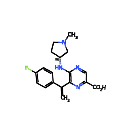 C=C(c1ccc(F)cc1)c1nc(C(=O)O)cnc1N[C@@H]1CCN(C)C1